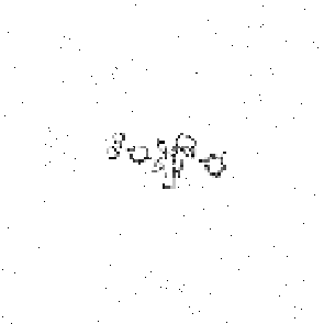 Cc1cccc(CN2CCCC[C@@H]2C(=O)NC2(c3ccc(C(=O)[O-])cc3)CC2)c1.[Li+]